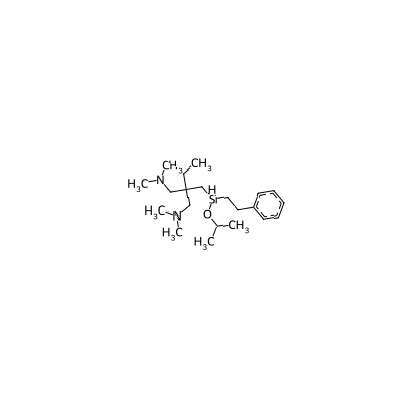 CCC(CN(C)C)(CN(C)C)C[SiH](CCc1ccccc1)OC(C)C